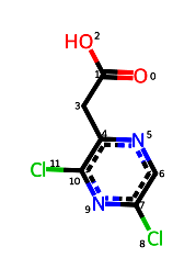 O=C(O)Cc1ncc(Cl)nc1Cl